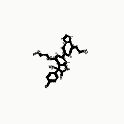 CC1(c2ccc(Cl)cc2)C(=O)Nc2nc(-c3cn4ccnc4c(CCC(F)(F)F)n3)nc(NCCC=O)c21